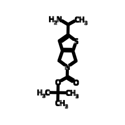 CC(N)c1cc2c(s1)CN(C(=O)OC(C)(C)C)C2